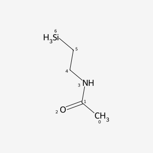 CC(=O)NCC[SiH3]